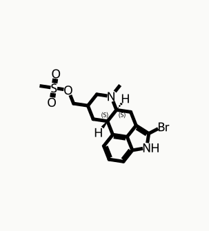 CN1CC(COS(C)(=O)=O)C[C@H]2c3cccc4[nH]c(Br)c(c34)C[C@@H]21